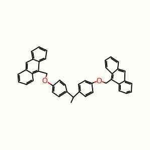 CC(c1ccc(OCc2c3ccccc3cc3ccccc23)cc1)c1ccc(OCc2c3ccccc3cc3ccccc23)cc1